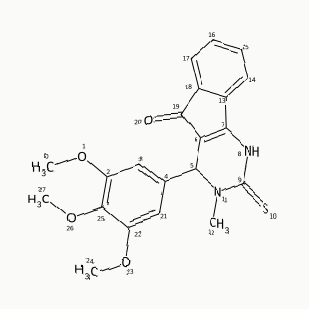 COc1cc(C2C3=C(NC(=S)N2C)c2ccccc2C3=O)cc(OC)c1OC